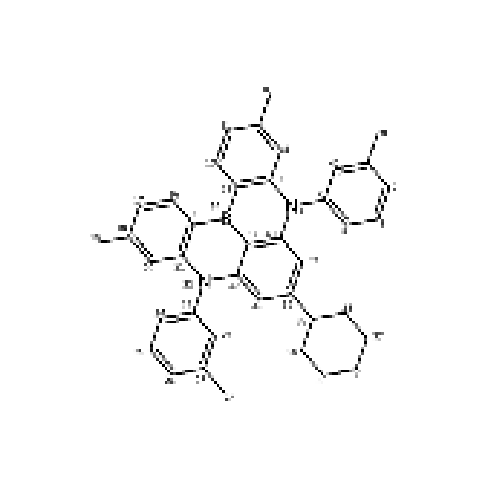 Cc1cccc(N2c3cc(C)ccc3B3c4ccc(C)cc4N(c4cccc(C)c4)c4cc(C5CCCCC5)cc2c43)c1